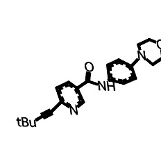 CC(C)(C)C#Cc1ccc(C(=O)Nc2ccc(N3CCOCC3)cc2)cn1